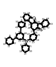 c1ccc(-c2cc(-c3ccccc3)cc(N(c3ccccc3)c3cccc(-c4cc5c6ccccc6oc5c5c4sc4ccccc45)c3)c2)cc1